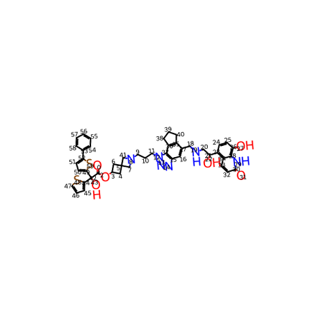 O=C(OC1CC2(C1)CN(CCCn1nnc3cc(CNC[C@H](O)c4ccc(O)c5[nH]c(=O)ccc45)c4c(c31)CCC4)C2)[C@](O)(c1cccs1)c1ccc(-c2ccccc2)s1